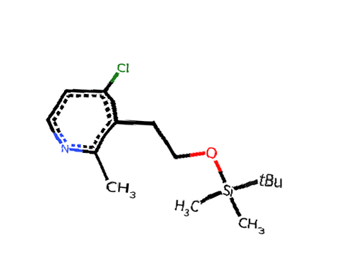 Cc1nccc(Cl)c1CCO[Si](C)(C)C(C)(C)C